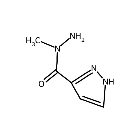 CN(N)C(=O)c1cc[nH]n1